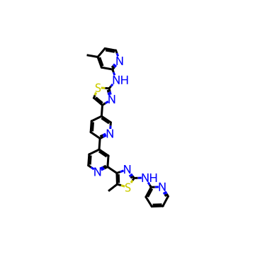 Cc1ccnc(Nc2nc(-c3ccc(-c4ccnc(-c5nc(Nc6ccccn6)sc5C)c4)nc3)cs2)c1